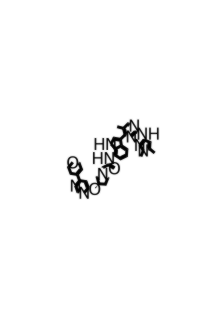 Cc1cnc(Nc2cc(C)n(C)n2)nc1-c1c[nH]c2c(NC(=O)CN3CC[C@H](Oc4cc(C5=CCOCC5)ncn4)C3)cccc12